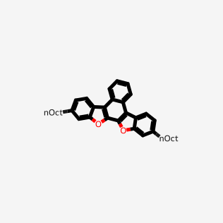 CCCCCCCCc1ccc2c(c1)oc1c3oc4cc(CCCCCCCC)ccc4c3c3ccccc3c21